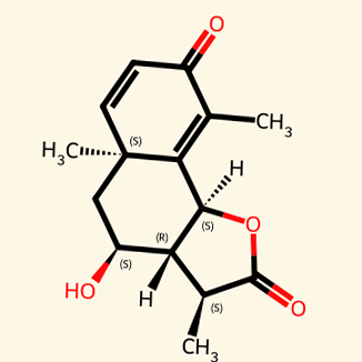 CC1=C2[C@H]3OC(=O)[C@@H](C)[C@@H]3[C@@H](O)C[C@@]2(C)C=CC1=O